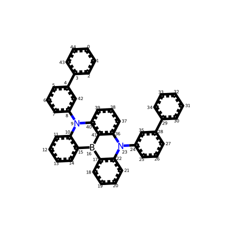 c1ccc(-c2cccc(N3c4ccccc4B4c5ccccc5N(c5cccc(-c6ccccc6)c5)c5cccc3c54)c2)cc1